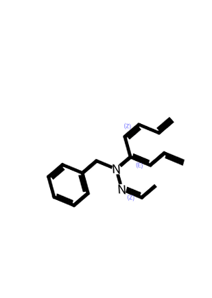 C=C/C=C\C(=C/C=C)N(Cc1ccccc1)/N=C\C